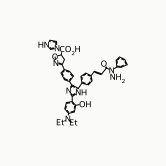 CCN(CC)c1ccc(-c2nc(-c3ccc(C4=NOC(C(=O)O)C4)cc3)c(-c3ccc(/C=C/C(=O)N(N)c4ccccc4)cc3)[nH]2)c(O)c1.c1c[nH]cn1